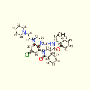 CC[C@H](NC(=O)c1c(CN2CCN(CCN3CCCCC3)CC2)n(-c2cccc(Cl)c2)c(=O)c2ccccc12)c1ccccc1